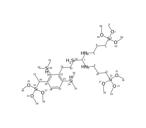 CO[Si](CCCNC(NCCC[Si](OC)(OC)OC)[SiH2]CCc1c([SiH](C)C)ccc(C(C)[Si](OC)(OC)OC)c1[SiH](C)C)(OC)OC